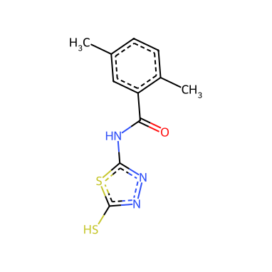 Cc1ccc(C)c(C(=O)Nc2nnc(S)s2)c1